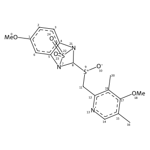 COc1ccc2c(c1)N1C([S+]([O-])Cc3ncc(C)c(OC)c3C)N2S1(=O)=O